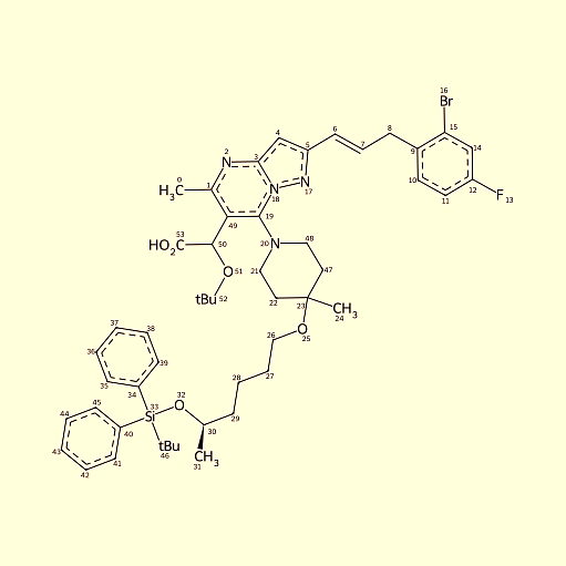 Cc1nc2cc(/C=C/Cc3ccc(F)cc3Br)nn2c(N2CCC(C)(OCCCC[C@@H](C)O[Si](c3ccccc3)(c3ccccc3)C(C)(C)C)CC2)c1C(OC(C)(C)C)C(=O)O